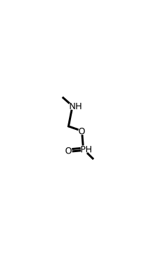 CNCO[PH](C)=O